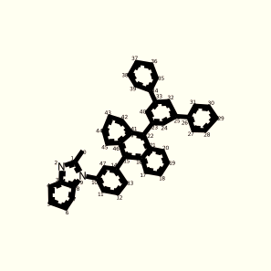 Cc1nc2ccccc2n1-c1cccc(-c2c3ccccc3c(-c3cc(-c4ccccc4)cc(-c4ccccc4)c3)c3ccccc23)c1